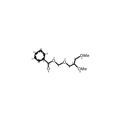 COCC(COCOC([O])c1ccccc1)OC